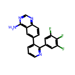 Nc1ncnc2ccc(-c3cccnc3-c3cc(F)c(F)c(F)c3)cc12